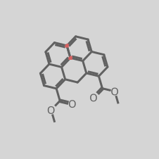 COC(=O)c1ccc2ccccc2c1Cc1c(C(=O)OC)ccc2ccccc12